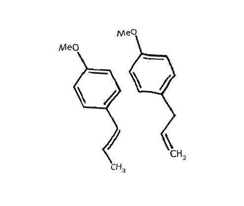 C=CCc1ccc(OC)cc1.CC=Cc1ccc(OC)cc1